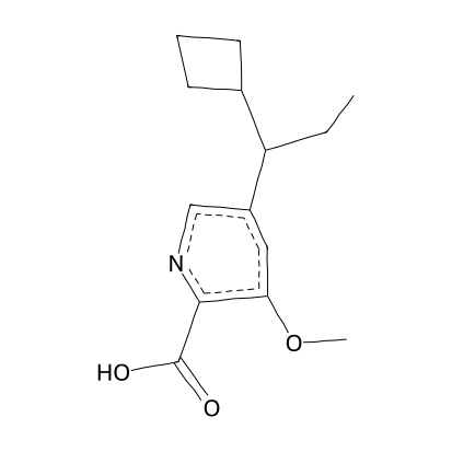 CCC(c1cnc(C(=O)O)c(OC)c1)C1CCC1